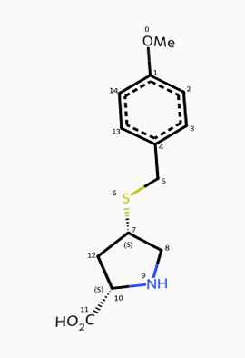 COc1ccc(CS[C@@H]2CN[C@H](C(=O)O)C2)cc1